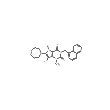 CCn1c(N2CCCNCC2)c(C#N)c2c1c(=O)n(Cc1nccc3ccccc13)c(=O)n2C